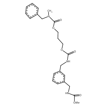 COC(=O)NCc1cccc(CNC(=O)OCCCOC(=O)N(C)Cc2ccccc2)c1